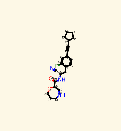 N#C[C@H](Cc1ccc(C#CC2CCCC2)cc1F)NC(=O)C1CNCCCO1